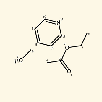 CCOC(C)=O.CO.c1ccncc1